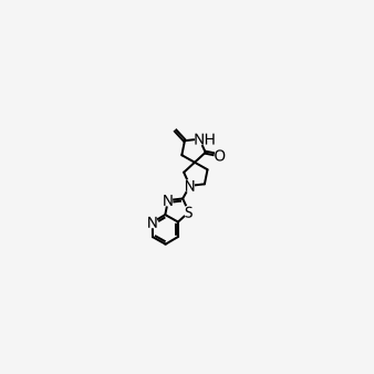 C=C1CC2(CCN(c3nc4ncccc4s3)C2)C(=O)N1